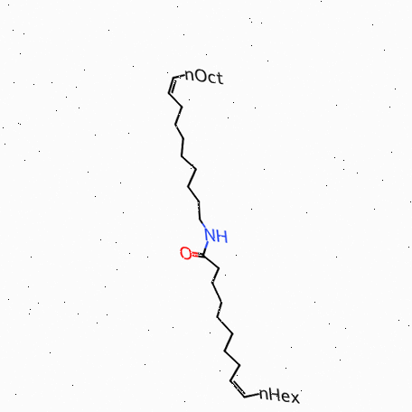 CCCCCC/C=C\CCCCCCCC(=O)NCCCCCCCC/C=C\CCCCCCCC